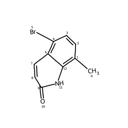 Cc1ccc(Br)c2ccc(=O)[nH]c12